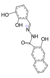 O=C(N/N=C/c1cccc(O)c1O)c1cc2ccccc2cc1O